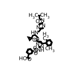 Cc1cccc(C)c1-c1cc(OCC(CC2(C)CC2)NCc2cnc3nc(C(C)C)oc3n2)nc(NS(=O)(=O)c2cccc(C(=O)O)c2)n1